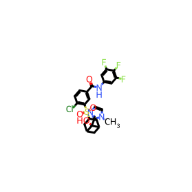 Cn1ccnc1C1(O)C2CC1CC(S(=O)(=O)c1cc(C(=O)Nc3cc(F)c(F)c(F)c3)ccc1Cl)C2